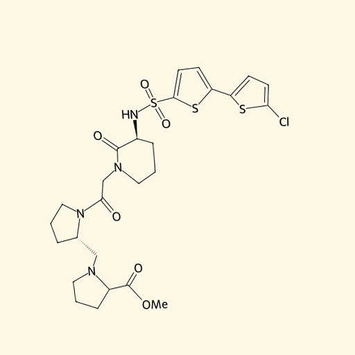 COC(=O)C1CCCN1C[C@@H]1CCCN1C(=O)CN1CCC[C@H](NS(=O)(=O)c2ccc(-c3ccc(Cl)s3)s2)C1=O